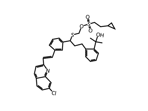 CC(C)(O)c1ccccc1CCC(SCOS(=O)(=O)CCC1CC1)c1cccc(C=Cc2ccc3ccc(Cl)cc3n2)c1